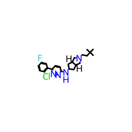 CC(C)(C)CCN1C[C@H]2CC(Nc3ccc(-c4cc(F)ccc4Cl)nn3)C[C@H]2C1